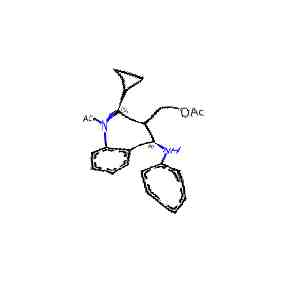 CC(=O)OCC1[C@H](C2CC2)N(C(C)=O)c2ccccc2[C@@H]1Nc1ccccc1